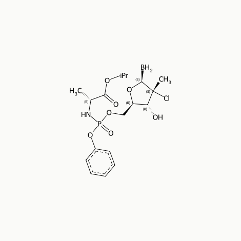 B[C@@H]1O[C@H](COP(=O)(N[C@H](C)C(=O)OC(C)C)Oc2ccccc2)[C@@H](O)[C@@]1(C)Cl